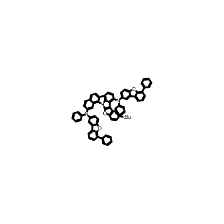 CC(C)(C)c1ccc2oc3c(c2c1)c1c(N(c2ccccc2)c2ccc4oc5c(-c6ccccc6)cccc5c4c2)ccc2c4ccc5ccc(N(c6ccccc6)c6ccc7oc8c(-c9ccccc9)cccc8c7c6)cc5c4n3c21